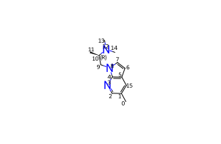 Cc1cnc2c(ccn2C[C@@H](C)N(C)C)c1